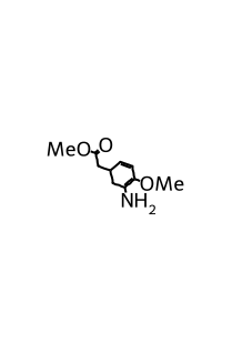 COC(=O)CC1C=CC(OC)=C(N)C1